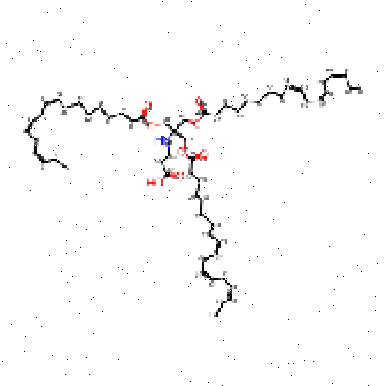 CC/C=C\C/C=C\C/C=C\CCCCCCCC(=O)OCC(COC(=O)CCCCCCC/C=C\C/C=C\C/C=C\CC)(COC(=O)CCCCCCC/C=C\C/C=C\C/C=C\CC)NCCC(=O)O